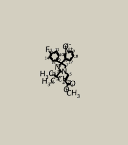 COC(=O)C=CN1CC(c2ccc(F)cc2)(c2ccc[n+]([O-])c2)N=C1C(C)(C)C